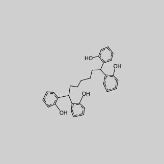 Oc1ccccc1C(CCCCCC(c1ccccc1O)c1ccccc1O)c1ccccc1O